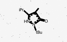 Cc1c(C(C)C)[nH]n(C(C)(C)C)c1=O